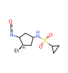 CC[C@@H]1CC(NS(=O)(=O)C2CC2)CC1N=C=O